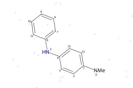 CNc1ccc(Nc2cc[c]cc2)cc1